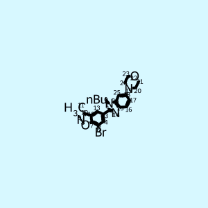 CCCCn1c(-c2cc(Br)c3onc(C)c3c2)nc2ccc(N3CCOCC3)cc21